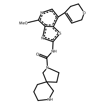 COc1ncc(C2=CCOCC2)c2sc(NC(=O)N3CCC4(CCCNC4)C3)nc12